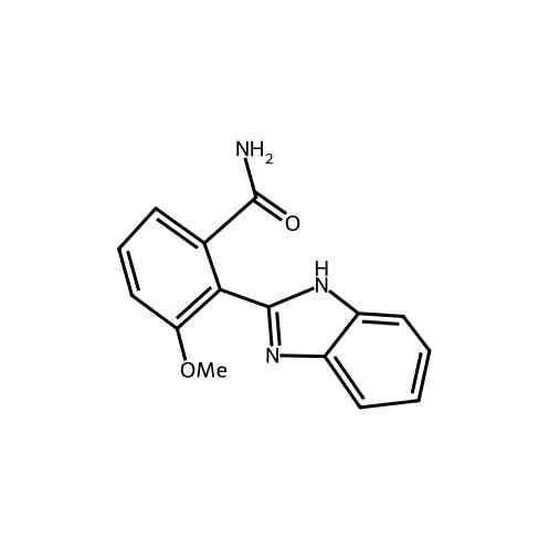 COc1cccc(C(N)=O)c1-c1nc2ccccc2[nH]1